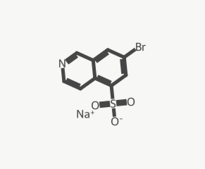 O=S(=O)([O-])c1cc(Br)cc2cnccc12.[Na+]